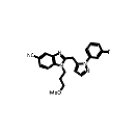 COCCCn1c(Cc2ccnn2-c2cccc(F)c2)nc2cc(C#N)ccc21